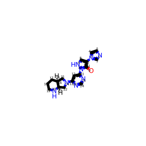 O=c1c(-n2ccnc2)c[nH]n1-c1cc(N2C[C@@H]3CCCN[C@@H]3C2)ncn1